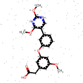 COc1cc(CC(=O)O)cc(Oc2cccc(-c3cnc(OC)nc3OC)c2)c1